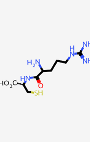 N=C(N)NCCCC(N)C(=O)N[C@@H](CS)C(=O)O